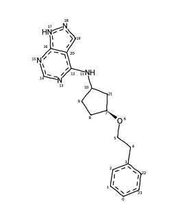 c1ccc(CCO[C@H]2CCC(Nc3ncnc4[nH]ncc34)C2)cc1